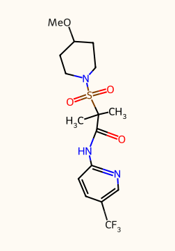 COC1CCN(S(=O)(=O)C(C)(C)C(=O)Nc2ccc(C(F)(F)F)cn2)CC1